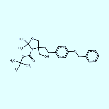 CC(C)(C)OC(=O)N1C(CO)(CCc2ccc(OCc3ccccc3)cc2)COC1(C)C